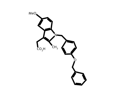 COc1ccc2c(c1)c(CC(=O)O)c(C)n2Cc1ccc(OCc2ccccc2)cc1